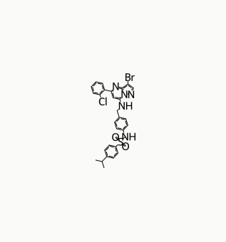 CC(C)c1ccc(S(=O)(=O)Nc2ccc(CNc3cc(-c4ccccc4Cl)nc4c(Br)cnn34)cc2)cc1